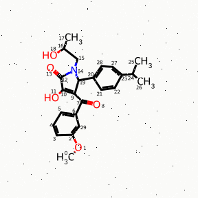 COc1cccc(C(=O)C2=C(O)C(=O)N(CC(C)O)C2c2ccc(C(C)C)cc2)c1